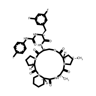 C[C@H]1C[C@H]2C(=O)OC[C@H](NC(=O)[C@H](Cc3cc(F)cc(F)c3)NC(=O)Nc3ccc(I)cc3)C(=O)N3CCC[C@H]3C(=O)N3CCCC[C@H]3C(=O)N[C@@H](C)C(=O)N2C1